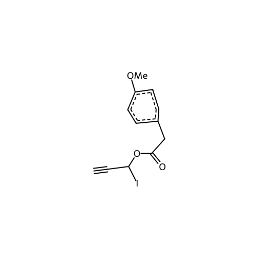 C#CC(I)OC(=O)Cc1ccc(OC)cc1